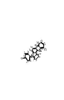 Cc1ccc(-n2c3ccccc3c3c4c(ccc32)Sc2ccccc2S4)cc1